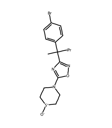 CC(C)C(C)(c1ccc(Br)cc1)c1noc(N2CC[S+]([O-])CC2)n1